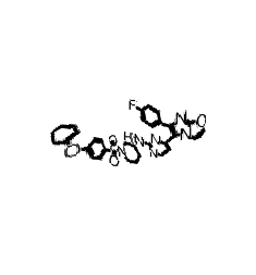 O=S(=O)(c1ccc(Oc2ccccc2)cc1)N1CCC[C@@H](Nc2nccc(-c3c(-c4ccc(F)cc4)nc4occn34)n2)C1